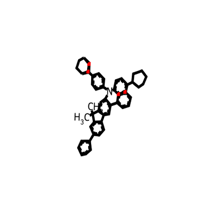 CC1(C)c2cc(-c3ccccc3)ccc2-c2cc(-c3ccccc3)c(N(c3ccc(C4CCCCC4)cc3)c3ccc(C4CC5CCC4CC5)cc3)cc21